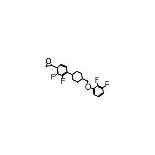 Fc1cccc(OCC2CCC(c3ccc(C4CO4)c(F)c3F)CC2)c1F